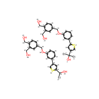 CCC(O)(CC)c1csc(-c2cccc(OCc3ccc(CO)c(CO)c3)c2)c1.CCC(O)c1cc(-c2cccc(OCc3ccc(CO)c(CO)c3)c2)cs1